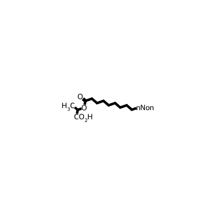 CCCCCCCCCCCCCCCCCC(=O)OC(C)C(=O)O